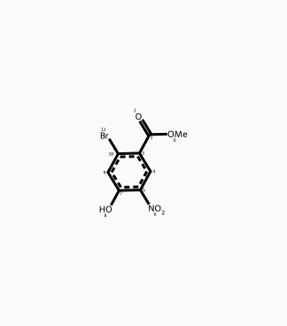 COC(=O)c1cc([N+](=O)[O-])c(O)cc1Br